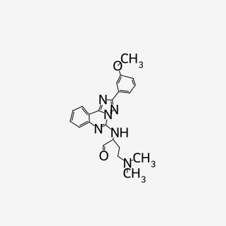 COc1cccc(-c2nc3c4ccccc4nc(NC(C=O)CCN(C)C)n3n2)c1